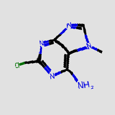 Cn1cnc2nc(Cl)nc(N)c21